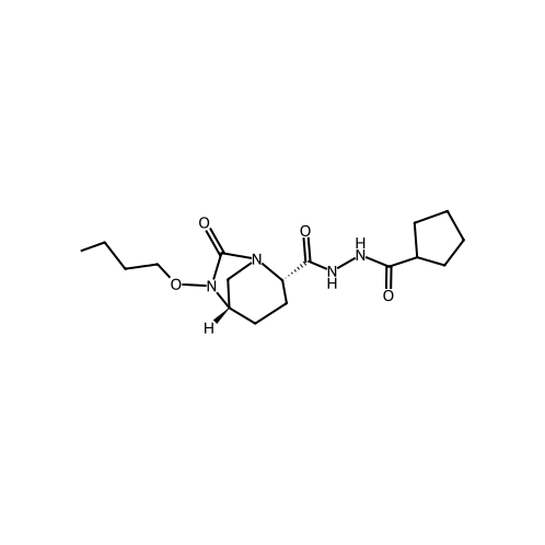 CCCCON1C(=O)N2C[C@@H]1CC[C@H]2C(=O)NNC(=O)C1CCCC1